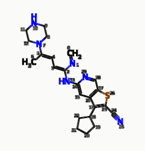 C=N/C(=C\C=C(/C)N1CCNCC1)Nc1cc2c(C3CCCC3)c(C#N)sc2cn1